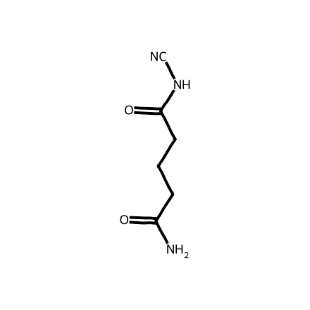 N#CNC(=O)CCCC(N)=O